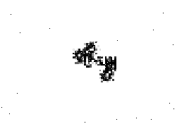 O=C(CCSCc1nnnn1-c1ccccc1)N(c1ccccc1)c1ccccc1